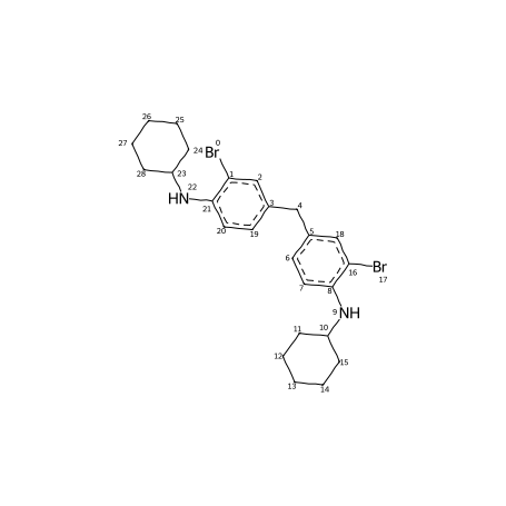 Brc1cc(Cc2ccc(NC3CCCCC3)c(Br)c2)ccc1NC1CCCCC1